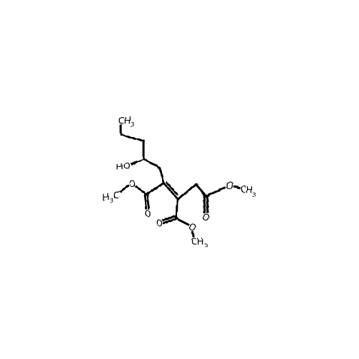 CCC[C@H](O)C/C(C(=O)OC)=C(\CC(=O)OC)C(=O)OC